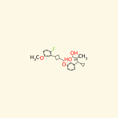 COc1ccc(F)c(C2CC(COc3cccc(C(C4CC4)[C@H](C)C(O)O)c3)C2)c1